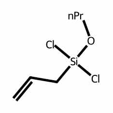 C=CC[Si](Cl)(Cl)OCCC